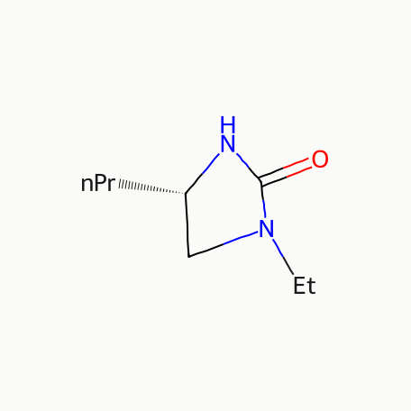 CCC[C@H]1CN(CC)C(=O)N1